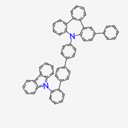 c1ccc(-c2ccc3c(c2)-c2ccccc2-c2ccccc2N3c2ccc(-c3ccc(-c4ccccc4-n4c5ccccc5c5ccccc54)cc3)cc2)cc1